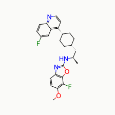 COc1ccc2nc(N[C@H](C)C[C@H]3CC[C@@H](c4ccnc5ccc(F)cc54)CC3)oc2c1F